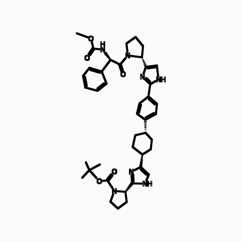 COC(=O)N[C@@H](C(=O)N1CCC[C@@H]1c1c[nH]c(-c2ccc([C@H]3CC[C@H](c4c[nH]c([C@H]5CCCN5C(=O)OC(C)(C)C)n4)CC3)cc2)n1)c1ccccc1